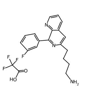 NCCCCc1cc2cccnc2c(-c2cccc(F)c2)n1.O=C(O)C(F)(F)F